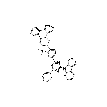 CC1(C)c2cc(-c3cc(-c4ccccc4)nc(-n4c5ccccc5c5ccccc54)n3)ccc2-c2cc3c4ccccc4c4ccccc4c3cc21